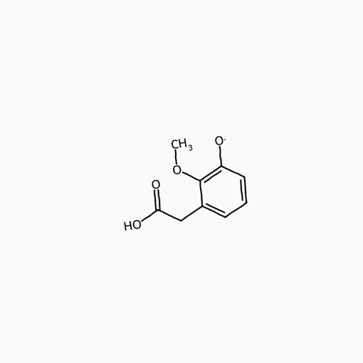 COc1c([O])cccc1CC(=O)O